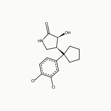 O=C1NC[C@H](C2(c3ccc(Cl)c(Cl)c3)CCCC2)[C@@H]1O